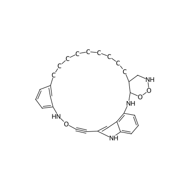 C1#Cc2cc3c(cccc3[nH]2)NC2OONCC2CCCCCCCCCc2cccc(c2)NO1